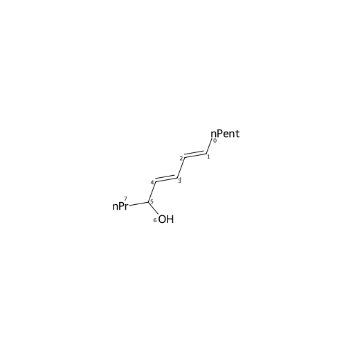 CCCCCC=C/[C]=C/C(O)CCC